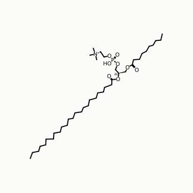 CCCCCCCCCCCCCCCCCCCCCCCC(=O)O[C@H](COC(=O)CCCCCCCCC)COP(=O)(O)OCC[N+](C)(C)C